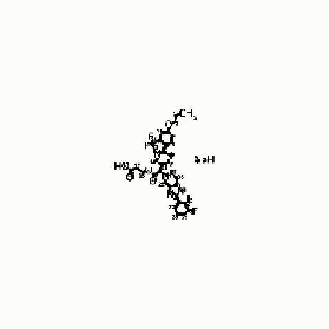 CCCOc1ccc(-c2ncc(C(C(=O)OCCC(=O)O)n3cc4nc(-c5cccc(F)c5F)nc-4cn3)cn2)c(C(F)(F)F)c1.[NaH]